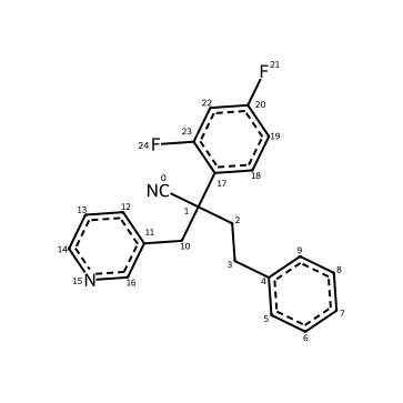 N#CC(CCc1ccccc1)(Cc1cccnc1)c1ccc(F)cc1F